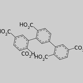 O=C(O)c1ccc(C(=O)O)c(-c2ccc(C(=O)O)c(-c3cc(C(=O)O)ccc3C(=O)O)c2)c1